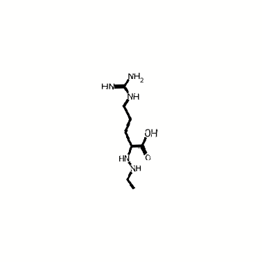 CCNNC(CCCNC(=N)N)C(=O)O